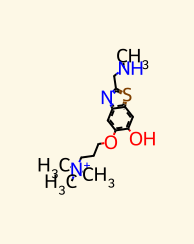 CNCc1nc2cc(OCCC[N+](C)(C)C)c(O)cc2s1